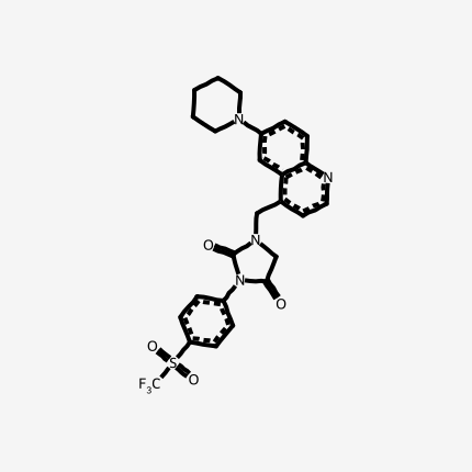 O=C1CN(Cc2ccnc3ccc(N4CCCCC4)cc23)C(=O)N1c1ccc(S(=O)(=O)C(F)(F)F)cc1